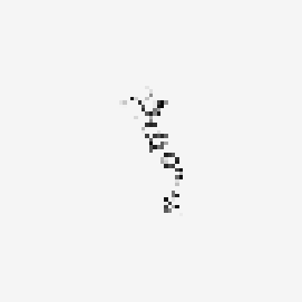 CCC[C@H]1C(=O)NN=C(c2ccc3nc(-c4ccc(OCCN5C[C@@H](C)O[C@@H](C)C5)cc4)oc3c2)[C@@H]1C